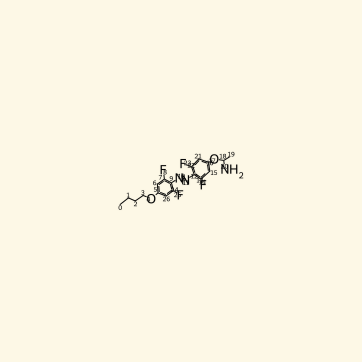 CCCCOc1cc(F)c(/N=N/c2c(F)cc(OC(C)N)cc2F)c(F)c1